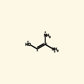 NC(N)=CO